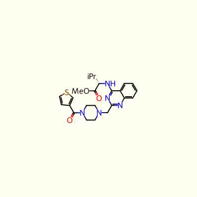 COC(=O)[C@@H](Nc1nc(CN2CCN(C(=O)c3ccsc3)CC2)nc2ccccc12)C(C)C